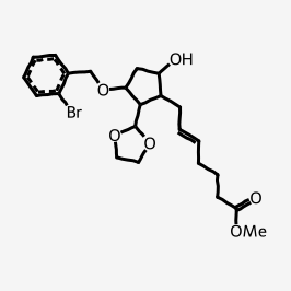 COC(=O)CCCC=CCC1C(O)CC(OCc2ccccc2Br)C1C1OCCO1